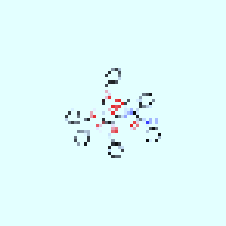 CC(=O)N(C[C@@H]1O[C@H](COCc2ccccc2)[C@@H](OCc2ccccc2)[C@H](OCc2ccccc2)[C@H]1OCc1ccccc1)C(C(=O)NC1CCCCC1)c1ccccc1